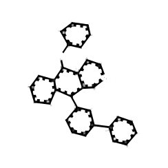 c1ccc(Sc2c3ccccc3c(-c3cccc(-c4ccccc4)c3)c3cnccc23)cc1